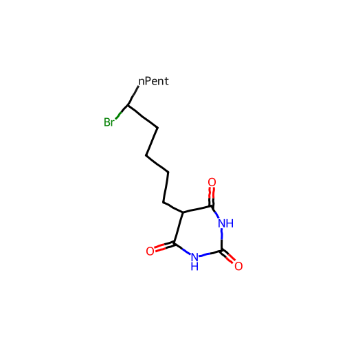 CCCCCC(Br)CCCCC1C(=O)NC(=O)NC1=O